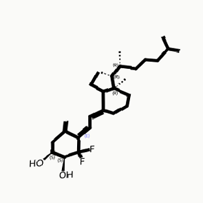 C=C1C[C@H](O)[C@H](O)C(F)(F)/C1=C/C=C1CCC[C@@]2(C)C1CC[C@@H]2[C@H](C)CCCC(C)C